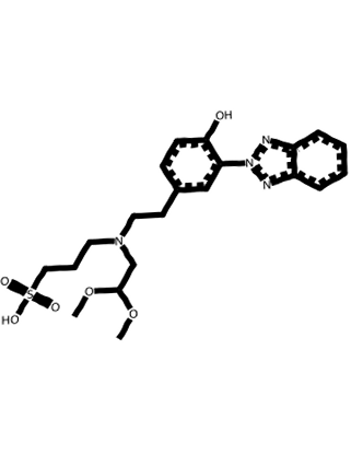 COC(CN(CCCS(=O)(=O)O)CCc1ccc(O)c(-n2nc3ccccc3n2)c1)OC